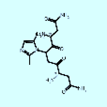 Cc1ncc([N+](=O)[O-])n1C(CC(=O)[C@@H](N)CC(N)=O)C(=O)[C@@H](N)CC(N)=O